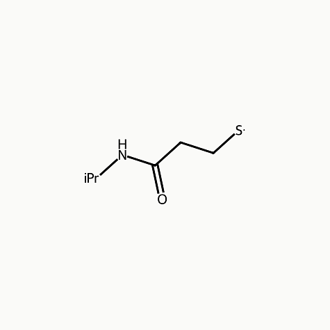 CC(C)NC(=O)CC[S]